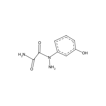 NC(=O)C(=O)N(N)c1cccc(O)c1